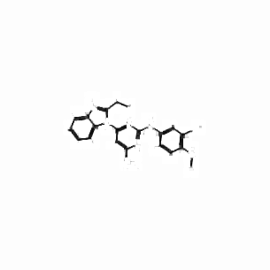 CCc1nc2ccccc2n1-c1cc(N)nc(Nc2ccc(OC)c(F)c2)n1